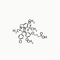 C=C(C(Nc1cc(OC)cc(OCCCC(=O)O)c1)c1ccc(Cl)cc1)N1CCc2cc(OC)c(C(C)(F)F)cc21